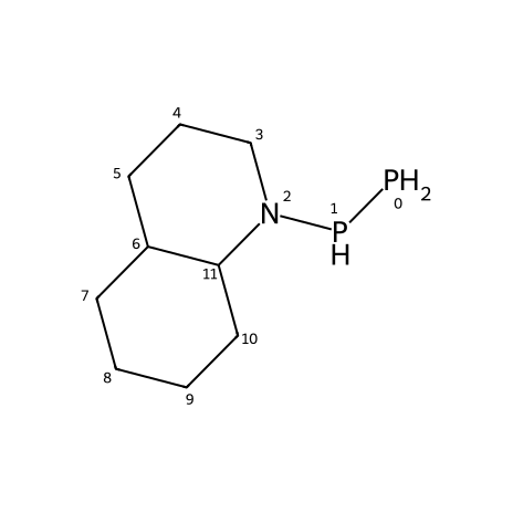 PPN1CCCC2CCCCC21